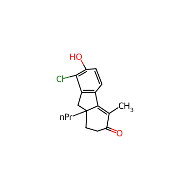 CCCC12CCC(=O)C(C)=C1c1ccc(O)c(Cl)c1C2